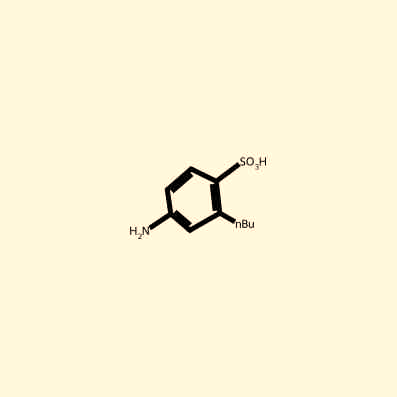 CCCCc1cc(N)ccc1S(=O)(=O)O